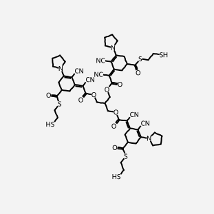 N#CC1=C(N2CCCC2)CC(C(=O)SCCS)C/C1=C(/C#N)C(=O)OCC(COC(=O)/C(C#N)=C1\CC(C(=O)SCCS)CC(N2CCCC2)=C1C#N)COC(=O)/C(C#N)=C1\CC(C(=O)SCCS)CC(N2CCCC2)=C1C#N